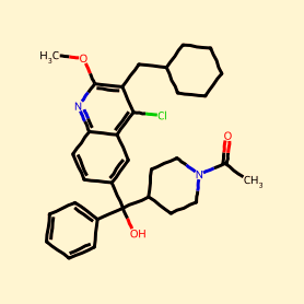 COc1nc2ccc(C(O)(c3ccccc3)C3CCN(C(C)=O)CC3)cc2c(Cl)c1CC1CCCCC1